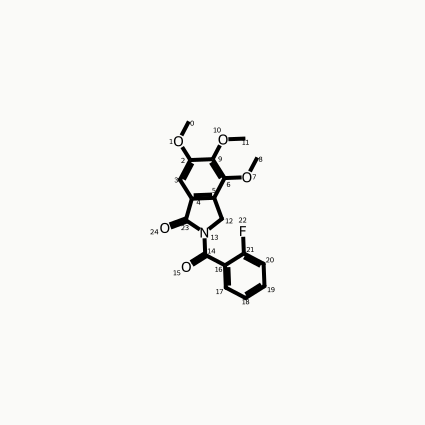 COc1cc2c(c(OC)c1OC)CN(C(=O)c1ccccc1F)C2=O